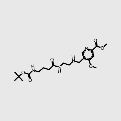 COC(=O)c1cc(OC)c(CNCCNC(=O)CCCNC(=O)OC(C)(C)C)cn1